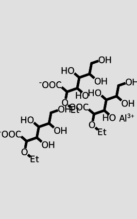 CCOC(C(=O)[O-])C(O)C(O)C(O)CO.CCOC(C(=O)[O-])C(O)C(O)C(O)CO.CCOC(C(=O)[O-])C(O)C(O)C(O)CO.[Al+3]